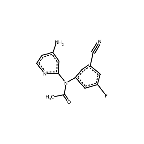 CC(=O)N(c1cc(F)cc(C#N)c1)c1cc(N)ccn1